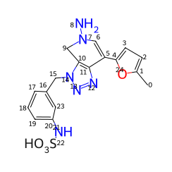 Cc1ccc(C2=CN(N)Cc3c2nnn3Cc2cccc(NS(=O)(=O)O)c2)o1